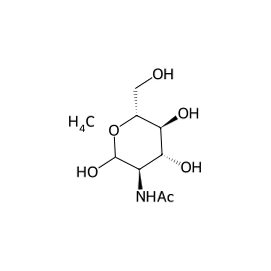 C.CC(=O)N[C@H]1C(O)O[C@H](CO)[C@@H](O)[C@@H]1O